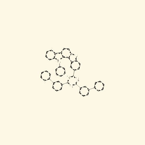 c1ccc(-c2cccc(-c3nc(-c4cccc(-c5ccccc5)c4)nc(-c4ccc5oc6ccc7c8ccccc8n(-c8ccccc8)c7c6c5c4)n3)c2)cc1